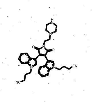 N#CCCCn1cc(C2=C(c3cn(CCCC#N)c4ccccc34)C(=O)N(CCN3CCNCC3)C2=O)c2ccccc21